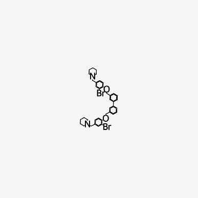 Brc1cc(CN2CCCCC2)ccc1OCc1cccc(-c2cccc(COc3ccc(CN4CCCCC4)cc3Br)c2)c1